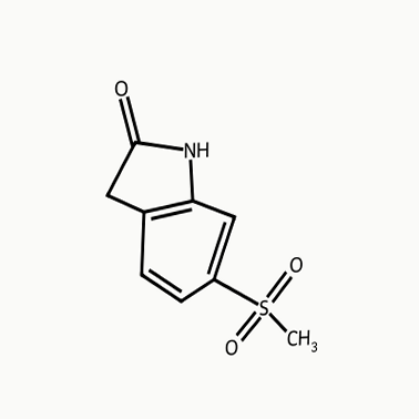 CS(=O)(=O)c1ccc2c(c1)NC(=O)C2